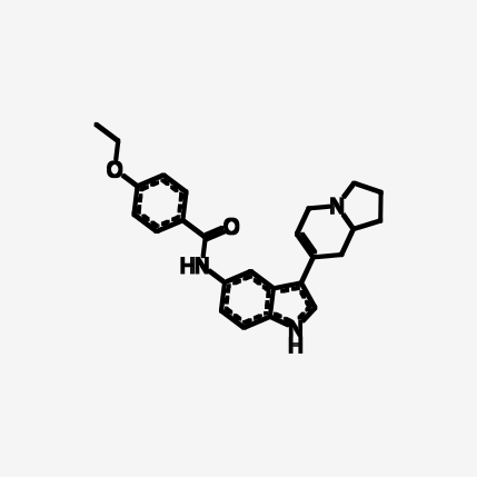 CCOc1ccc(C(=O)Nc2ccc3[nH]cc(C4=CCN5CCCC5C4)c3c2)cc1